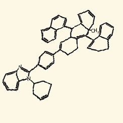 CC12CC=CC=C1C(c1cccc3ccccc13)C1C=C(C3=CCC(c4nc5ccccc5n4C4CC=CCC4)C=C3)CCC1=C2C1=CCCc2ccccc21